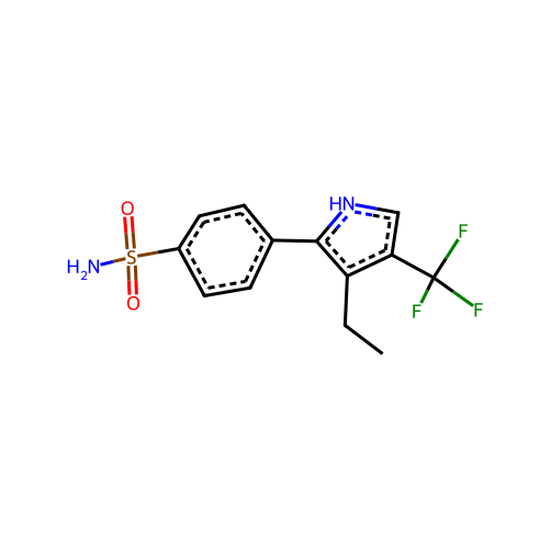 CCc1c(C(F)(F)F)c[nH]c1-c1ccc(S(N)(=O)=O)cc1